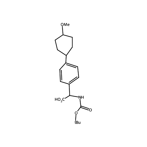 COC1CCC(c2ccc(C(NC(=O)OC(C)(C)C)C(=O)O)cc2)CC1